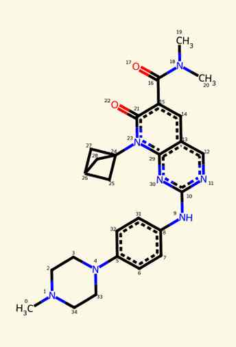 CN1CCN(c2ccc(Nc3ncc4cc(C(=O)N(C)C)c(=O)n(C56CC(C5)C6)c4n3)cc2)CC1